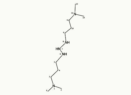 CN(C)CCCNNNCCCN(C)C